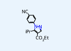 CCOC(=O)c1cnn(-c2ccc(C#N)cc2)c1C(C)C